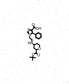 CC(C)(C)OC(=O)C1CC(NCCn2cnc(C(=O)O)c2-c2ccccc2)CCO1